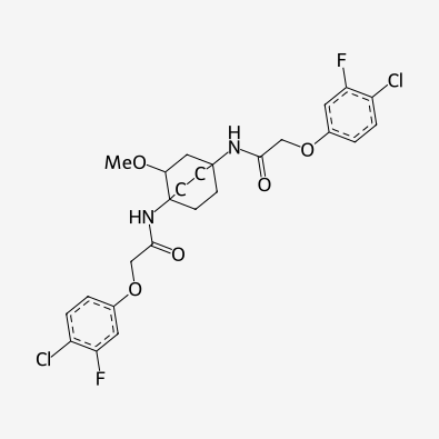 COC1CC2(NC(=O)COc3ccc(Cl)c(F)c3)CCC1(NC(=O)COc1ccc(Cl)c(F)c1)CC2